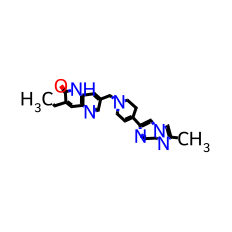 CCc1cc2ncc(CN3CC=C(c4cn5cc(C)nc5cn4)CC3)cc2[nH]c1=O